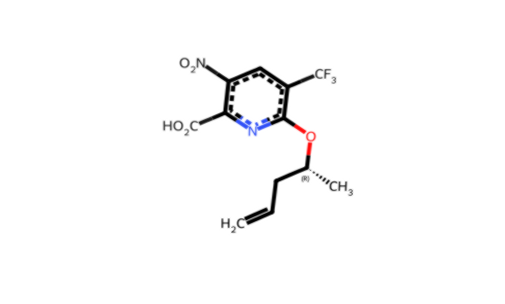 C=CC[C@@H](C)Oc1nc(C(=O)O)c([N+](=O)[O-])cc1C(F)(F)F